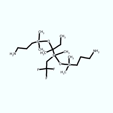 CCC(C)(O[Si](C)(C)CCCN)[Si](C)(CC(F)(F)F)O[Si](C)(C)CCCN